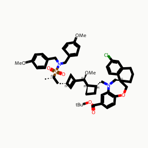 COc1ccc(CN(Cc2ccc(OC)cc2)S(=O)(=O)[C@@H](C)C[C@H]2C=C([C@@H](OC)[C@@H]3CC[C@H]3CN3C[C@@]4(CCCc5cc(Cl)ccc54)COc4ccc(C(=O)OC(C)(C)C)cc43)C2)cc1